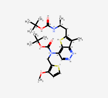 COc1ccsc1CN(C(=O)OC(C)(C)C)c1cnnc2c(C)c(C[C@H](C)NC(=O)OC(C)(C)C)sc12